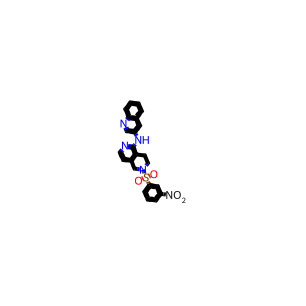 O=[N+]([O-])c1cccc(S(=O)(=O)N2CCc3c(ccnc3Nc3cnc4ccccc4c3)C2)c1